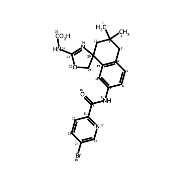 CC1(C)Cc2ccc(NC(=O)c3ccc(Br)cn3)cc2C2(COC(NC(=O)O)=N2)C1